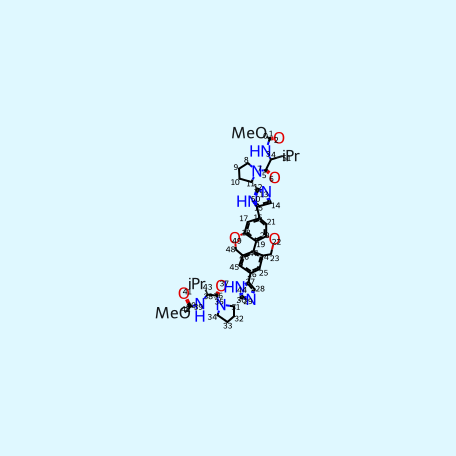 COC(=O)NC(C(=O)N1CCC[C@H]1c1ncc(-c2cc3c4c(c2)OCc2cc(-c5cnc([C@@H]6CCCN6C(=O)[C@@H](NC(=O)OC)C(C)C)[nH]5)cc(c2-4)CO3)[nH]1)C(C)C